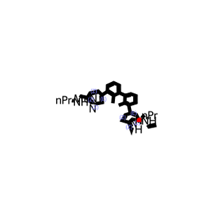 C=CNC1=N\C=C(CNCCC)\C=C/C(c2cccc(-c3cccc(C4=C/C(NC)=N/C=C(CNCCC)/C=C\4)c3C)c2C)=C\1